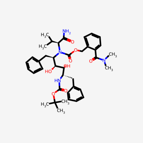 CC(C)[C@@H](C(N)=O)N(C(=O)OCc1ccccc1C(=O)N(C)C)[C@H](Cc1ccccc1)[C@H](O)[C@H](O)[C@H](Cc1ccccc1)NC(=O)OC(C)(C)C